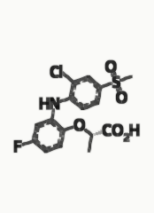 C[C@H](Oc1ccc(F)cc1Nc1ccc(S(C)(=O)=O)cc1Cl)C(=O)O